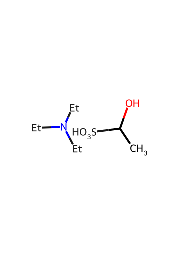 CC(O)S(=O)(=O)O.CCN(CC)CC